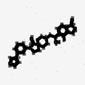 Cc1c([C@@H](O)CN2CCC3(CC2)CCN(c2cccc(-c4ccoc4)c2)C3=O)ccc2c1COC2=O